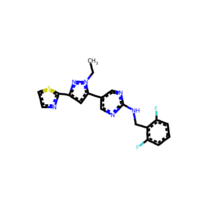 CCn1nc(-c2nccs2)cc1-c1cnc(NCc2c(F)cccc2F)nc1